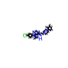 Cc1cccc(N2CCN(CCNc3ncnc4c3nc(C)n4-c3ccc(Cl)cc3)CC2)c1C